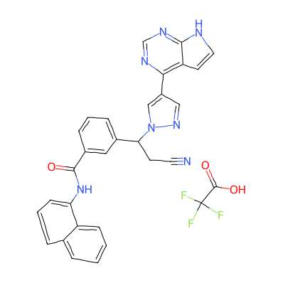 N#CCC(c1cccc(C(=O)Nc2cccc3ccccc23)c1)n1cc(-c2ncnc3[nH]ccc23)cn1.O=C(O)C(F)(F)F